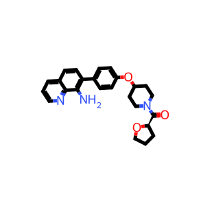 Nc1c(-c2ccc(OC3CCN(C(=O)[C@H]4CCCO4)CC3)cc2)ccc2cccnc12